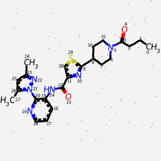 CCCC(=O)N1CCC(c2nc(C(=O)Nc3cccnc3-n3nc(C)cc3C)cs2)CC1